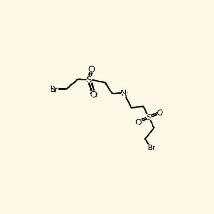 O=S(=O)(CCBr)CC[N]CCS(=O)(=O)CCBr